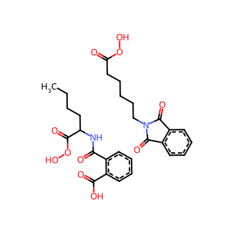 CCCCC(NC(=O)c1ccccc1C(=O)O)C(=O)OO.O=C(CCCCCN1C(=O)c2ccccc2C1=O)OO